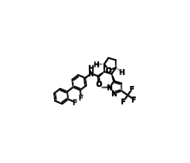 Cn1nc(C(F)(F)F)cc1[C@H]1[C@@H](C(=O)Nc2ccc(-c3ccccc3F)c(F)c2)[C@H]2CC[C@@H]1O2